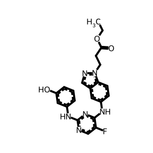 CCOC(=O)CCn1ncc2cc(Nc3nc(Nc4cccc(O)c4)ncc3F)ccc21